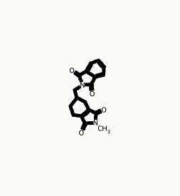 CN1C(=O)C2=C(CC(CN3C(=O)c4ccccc4C3=O)CC2)C1=O